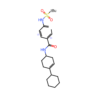 C=C(/C=C\C(=C/C)C(=O)NC1CC=C(C2CCCCC2)CC1)NS(=O)(=O)C(C)(C)C